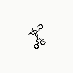 O=C1C[C@@H]2[C@@H](C=C[C@H](CCc3ccccc3)OC3CCCCO3)[C@H](OC3CCCCO3)C[C@@H]2O1